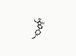 [CH2]CN1CCC(c2ccc3[nH]c(Br)c(CC)c3c2)CC1